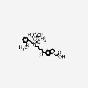 COc1ccccc1CCN(CCCCC(=O)c1ccc2c(c1)CCN2CC(=O)O)C(=O)OC(C)(C)C